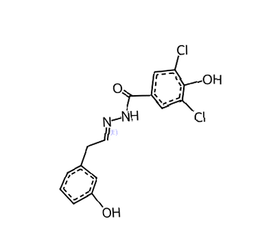 O=C(N/N=C/Cc1cccc(O)c1)c1cc(Cl)c(O)c(Cl)c1